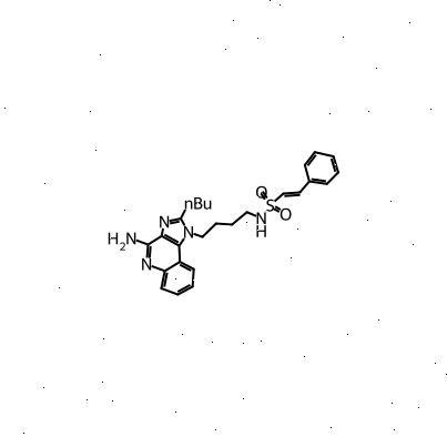 CCCCc1nc2c(N)nc3ccccc3c2n1CCCCNS(=O)(=O)/C=C/c1ccccc1